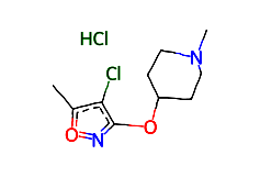 Cc1onc(OC2CCN(C)CC2)c1Cl.Cl